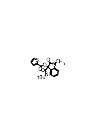 CN1C(=O)C(OC(=O)c2cccs2)(C(=O)NC(C)(C)C)c2ccccc21